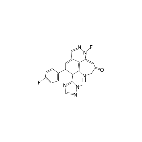 Cn1ncnc1C1C2=C3C(=CC1c1ccc(F)cc1)C=NN(F)C3=CC(=O)CN2